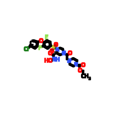 CCOC(=O)N1CCN(CC(=O)N2CCN(S(=O)(=O)c3cc(F)c(Oc4ccc(Cl)cc4)c(F)c3)[C@@H](C(=O)NO)C2)CC1